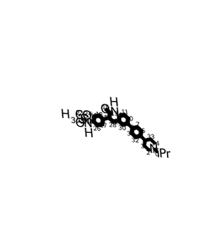 CC(C)N1CCC(c2ccc(-c3ccc4[nH]c(=O)c(-c5ccc(NS(C)(=O)=O)cc5)cc4c3)cc2)CC1